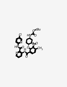 CC1=CC=C(C(=O)Nc2cccnc2C(=O)Nc2ccc(Cl)cn2)C(O[C@H]2CC[C@H](NC(=O)OC(C)(C)C)CC2)C1=S(=O)=O